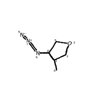 CC1COCC1N=[N+]=[N-]